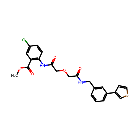 COC(=O)c1cc(Cl)ccc1NC(=O)COCC(=O)NCc1cccc(-c2ccsc2)c1